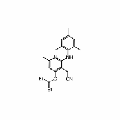 CCC(CC)Oc1cc(C)nc(Nc2c(C)cc(C)cc2C)c1CC#N